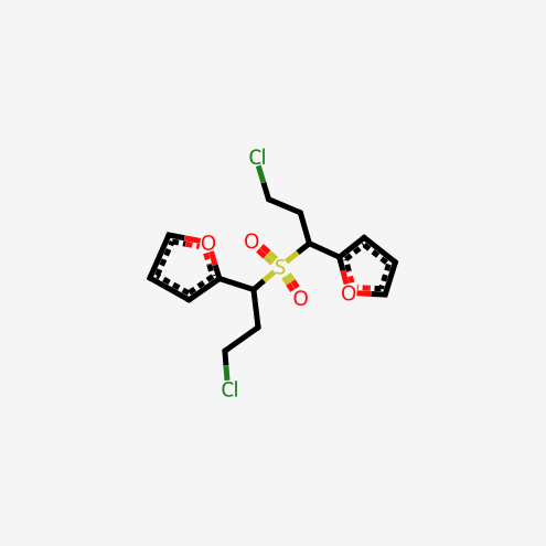 O=S(=O)(C(CCCl)c1ccco1)C(CCCl)c1ccco1